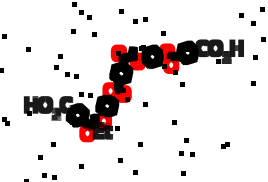 CCC(C)(OC1CCC(OC(=O)C2CCC(C(=O)C(C)OC3CCC(OC(=O)C4CCC(C(=O)O)CC4)CC3)CC2)CC1)C(=O)C1CCC(C(=O)O)CC1